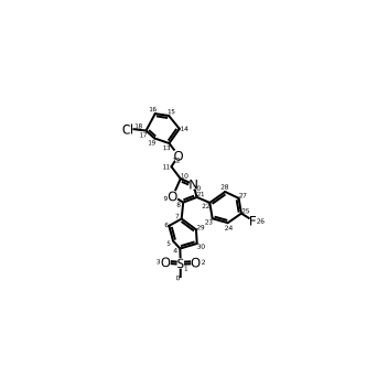 CS(=O)(=O)c1ccc(-c2oc(COc3cccc(Cl)c3)nc2-c2ccc(F)cc2)cc1